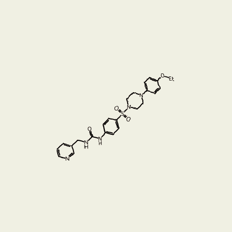 CCOc1ccc(N2CCN(S(=O)(=O)c3ccc(NC(=O)NCc4cccnc4)cc3)CC2)cc1